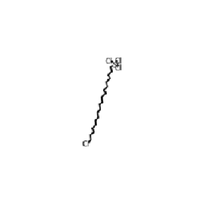 ClCCCCCCCCCCCCCCCCCCCC[Si](Cl)(Cl)Cl